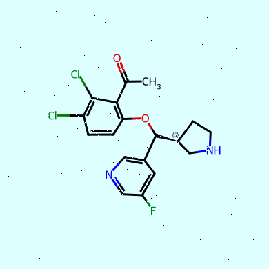 CC(=O)c1c(OC(c2cncc(F)c2)[C@H]2CCNC2)ccc(Cl)c1Cl